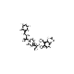 Cc1cccc(OCC(=O)N2CCN(C(=O)CCc3ccccc3)CC2)c1Cl